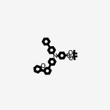 CC1(C)OB(c2ccc(N(c3ccc(-c4ccccc4)cc3)c3ccc(-c4cccc5c4oc4ccccc45)cc3)cc2)OC1(C)C